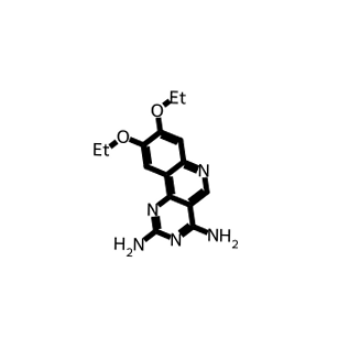 CCOc1cc2ncc3c(N)nc(N)nc3c2cc1OCC